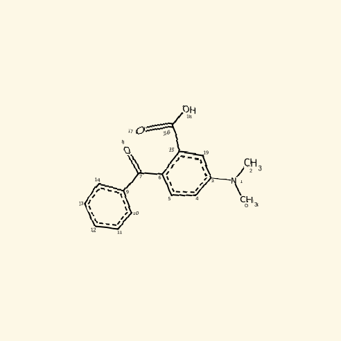 CN(C)c1ccc(C(=O)c2ccccc2)c(C(=O)O)c1